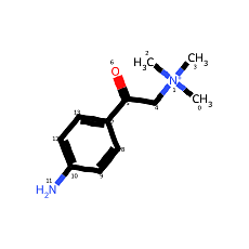 C[N+](C)(C)CC(=O)c1ccc(N)cc1